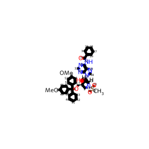 COc1ccc(C(OC[C@@]23CN(S(C)(=O)=O)[C@@H]([C@H](n4cnc5c(NC(=O)c6ccccc6)ncnc54)O2)[C@@H]3O)(c2ccccc2)c2ccc(OC)cc2)cc1